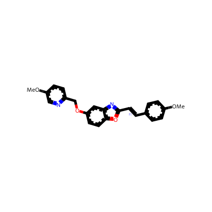 COc1ccc(/C=C/c2nc3cc(OCc4ccc(OC)cn4)ccc3o2)cc1